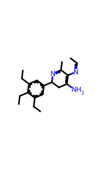 C/C=N\C1=C(N)CC(c2cc(CC)c(CC)c(CC)c2)N=C1C